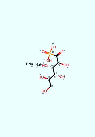 O=C([C@@H](O)[C@@H](O)[C@H](O)[C@H](O)CO)P(=O)(O)O.[NaH].[NaH]